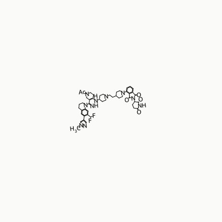 CC(=O)N1CCC(NC2CCN(CCC3CCN(c4cccc5c4C(=O)N(C4CCC(=O)NC4=O)C5=O)CC3)CC2)=C(C(=N)N2CCCc3cc(-c4cnn(C)c4)c(C(F)F)cc32)C1